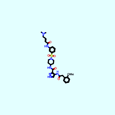 COc1ccccc1CC(=O)Nc1c[nH]nc1C(=O)NC1CCN(S(=O)(=O)c2cccc(NC(=O)C=CCN(C)C)c2)CC1